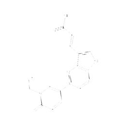 CC(C)(C)Cn1cc(-c2cnc3[nH]cc(/C=C/C(N)=O)c3n2)ccc1=O